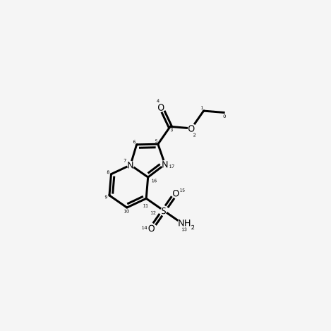 CCOC(=O)c1cn2cccc(S(N)(=O)=O)c2n1